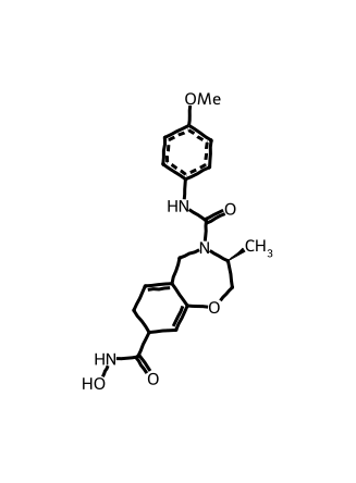 COc1ccc(NC(=O)N2CC3=CCC(C(=O)NO)C=C3OC[C@@H]2C)cc1